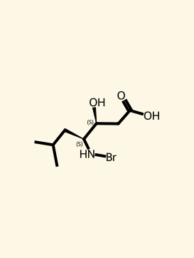 CC(C)C[C@H](NBr)[C@@H](O)CC(=O)O